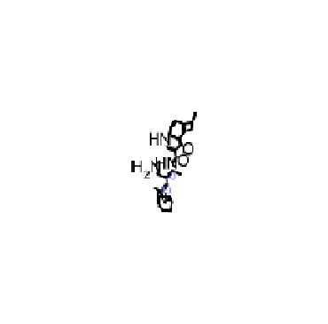 C/C(NC(=O)c1c[nH]c2ccc3c(c2c1=O)CC3C)=C(\C=C(/C)N1C2CCC1CC2)CN